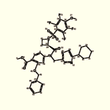 COC(=O)c1ccc(N(Cc2cnc(C3CCCCC3)cn2)C(=O)[C@H]2CCN2S(=O)(=O)c2c(F)c(F)c(OC)c(F)c2F)cc1OCc1ccccc1